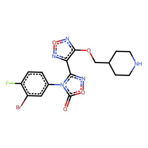 O=c1onc(-c2nonc2OCC2CCNCC2)n1-c1ccc(F)c(Br)c1